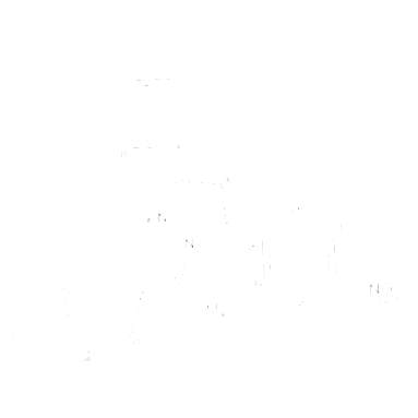 Cc1ccc(C(=O)N2N=C(c3ccccc3)CC2c2ccc([N+](=O)[O-])cc2)cc1